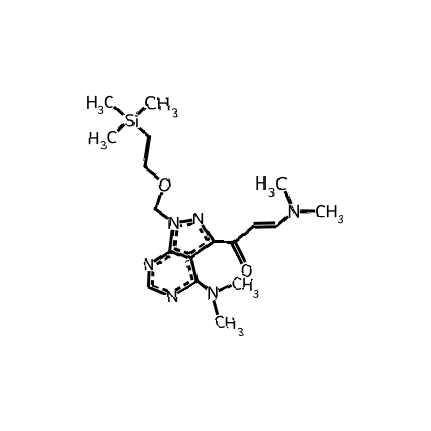 CN(C)C=CC(=O)c1nn(COCC[Si](C)(C)C)c2ncnc(N(C)C)c12